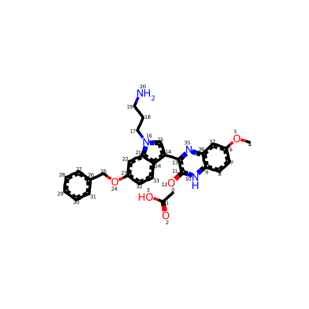 CC(=O)O.COc1ccc2[nH]c(=O)c(-c3cn(CCCN)c4cc(OCc5ccccc5)ccc34)nc2c1